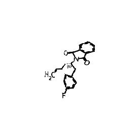 C=CCC[C@@H](Cc1ccc(F)cc1)N1C(=O)c2ccccc2C1=O